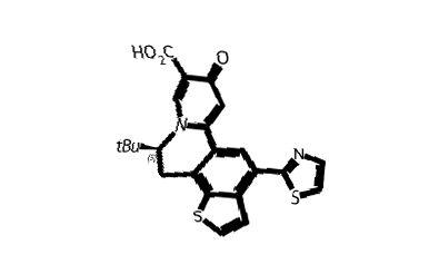 CC(C)(C)[C@@H]1Cc2c(cc(-c3nccs3)c3ccsc23)-c2cc(=O)c(C(=O)O)cn21